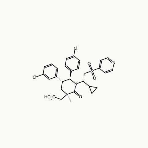 C[C@]1(CC(=O)O)C[C@H](c2cccc(Cl)c2)[C@@H](c2ccc(Cl)cc2)N([C@H](CS(=O)(=O)c2ccncc2)C2CC2)C1=O